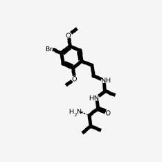 COc1cc(CCNC(C)NC(=O)[C@@H](N)C(C)C)c(OC)cc1Br